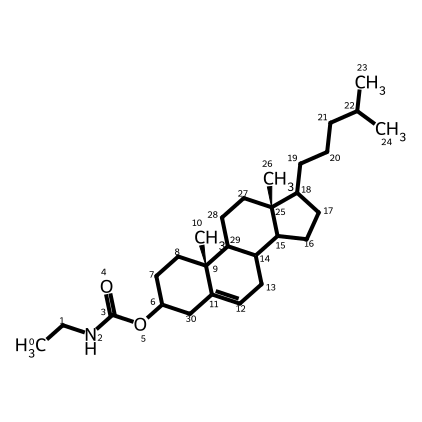 CCNC(=O)OC1CC[C@@]2(C)C(=CCC3C4CCC(CCCC(C)C)[C@@]4(C)CCC32)C1